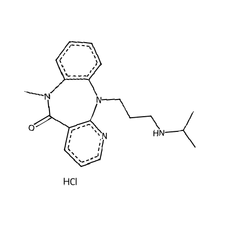 CC(C)NCCCN1c2ccccc2N(C)C(=O)c2cccnc21.Cl